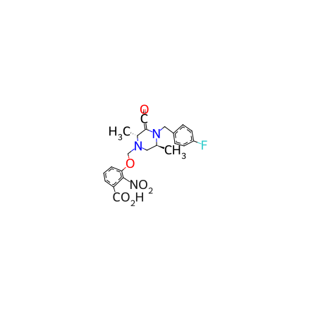 C[C@@H]1C(=C=O)N(Cc2ccc(F)cc2)[C@@H](C)CN1COc1cccc(C(=O)O)c1[N+](=O)[O-]